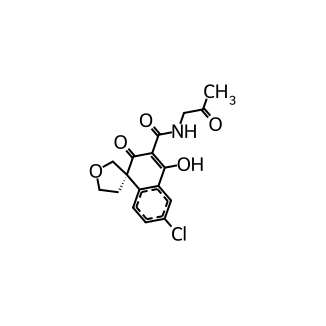 CC(=O)CNC(=O)C1=C(O)c2cc(Cl)ccc2[C@]2(CCOC2)C1=O